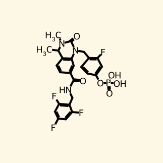 CC1c2ccc(C(=O)NCc3c(F)cc(F)cc3F)cc2N(Cc2ccc(OP(=O)(O)O)cc2F)C(=O)N1C